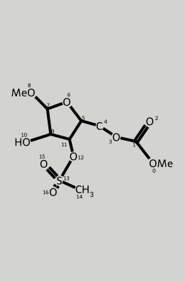 COC(=O)OCC1OC(OC)C(O)C1OS(C)(=O)=O